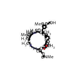 CNC(=O)OCCOC1C[C@@H]2CC[C@@H](C)[C@@](O)(O2)C(=O)C(=O)N2CCCC[C@H]2C(=O)OC([C@H](C)CC2CC[C@@H](OCCO)[C@H](OC)C2)CC(=O)[C@H](C)/C=C(\C)[C@@H](O)[C@@H](OC)C(=O)[C@H](C)C[C@H](C)/C=C/C=C/C=C/1C